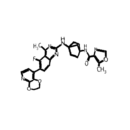 Cc1ocnc1C(=O)NC12CCC(Nc3nc(C)c4c(F)c(-c5ccnc6c5OCCO6)ccc4n3)(CC1)C2